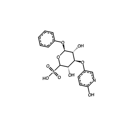 O=S(=O)(O)C1O[C@@H](Oc2ccccc2)[C@H](O)[C@@H](Oc2ccc(O)nc2)[C@@H]1O